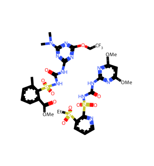 CCS(=O)(=O)c1cccnc1S(=O)(=O)NC(=O)Nc1nc(OC)cc(OC)n1.COC(=O)c1cccc(C)c1S(=O)(=O)NC(=O)Nc1nc(OCC(F)(F)F)nc(N(C)C)n1